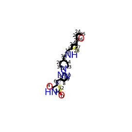 O=C1NC(=O)/C(=C/c2ccnc(N3CCC(CNCc4cc(-c5ccco5)cs4)CC3)n2)S1